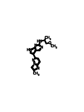 COCC(C)Nc1ncc2c(-c3ccc4nc(C)cn4n3)c[nH]c2n1